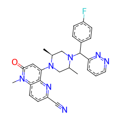 CC1CN(c2cc(=O)n(C)c3ccc(C#N)nc23)[C@@H](C)CN1C(c1ccc(F)cc1)c1cccnn1